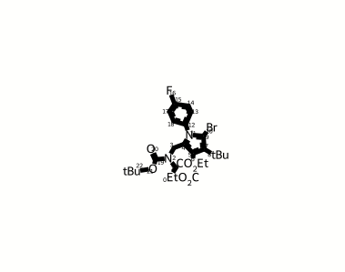 CCOC(=O)CN(Cc1c(C(=O)OCC)c(C(C)(C)C)c(Br)n1-c1ccc(F)cc1)C(=O)OC(C)(C)C